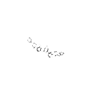 C[C@H]1CN(C2CCOCC2)CCN1c1ccc(Nc2nc(-c3ccnc(N4CCn5c(cc6c5CC(C)(C)C6)C4=O)c3C=O)cn(C)c2=O)cc1[N+](=O)[O-]